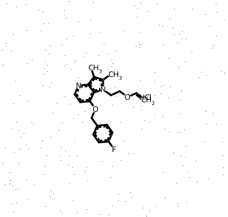 C=COCCn1c(C)c(C)c2nccc(OCc3ccc(F)cc3)c21.Cl